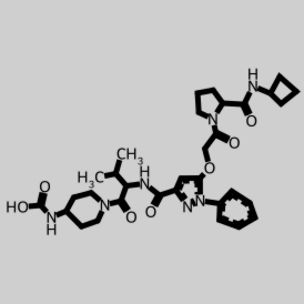 CC(C)C(NC(=O)c1cc(OCC(=O)N2CCCC2C(=O)NC2CCC2)n(-c2ccccc2)n1)C(=O)N1CCC(NC(=O)O)CC1